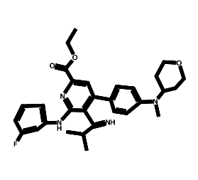 CCOC(=O)c1cc(-c2ccc(N(C)C3CCOCC3)cc2)c(C(=N)C(C)C)c(Nc2cccc(F)c2)n1